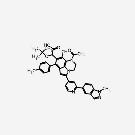 CC(=O)N1CCn2c(-c3ccnc(-c4ccc5c(cnn5C)c4)c3)cc3c(-c4ccc(C)cc4)c(C(OC(C)(C)C)C(=O)O)c(C)c1c32